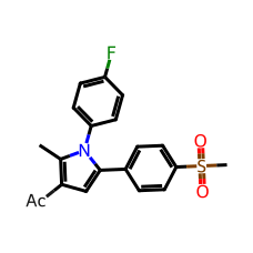 CC(=O)c1cc(-c2ccc(S(C)(=O)=O)cc2)n(-c2ccc(F)cc2)c1C